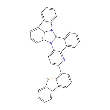 c1ccc2c(c1)B1N(c3ccc(-c4cccc5c4sc4ccccc45)nc3-2)c2cccc3c4ccccc4n1c23